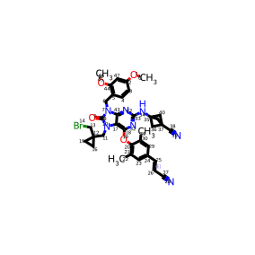 COc1ccc(Cn2c(=O)n(CC3(CBr)CC3)c3c(Oc4c(C)cc(/C=C/C#N)cc4C)nc(NC45CC(C#N)(C4)C5)nc32)c(OC)c1